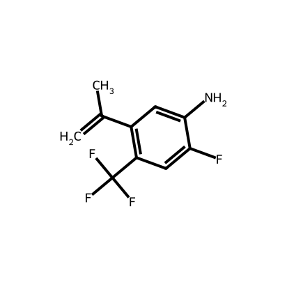 C=C(C)c1cc(N)c(F)cc1C(F)(F)F